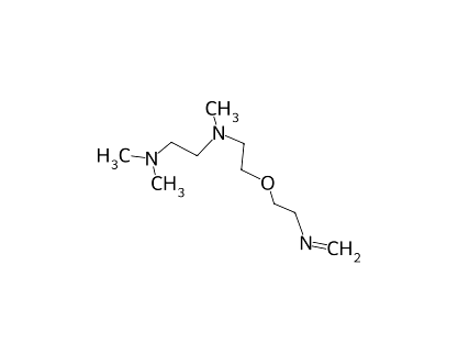 C=NCCOCCN(C)CCN(C)C